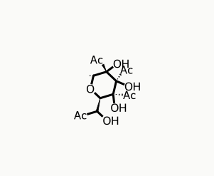 CC(=O)C(O)[C@H]1O[CH][C@@](O)(C(C)=O)[C@](O)(C(C)=O)[C@]1(O)C(C)=O